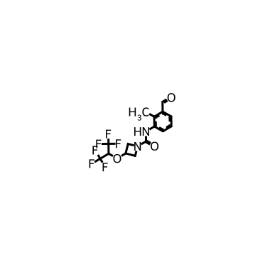 Cc1c(C=O)cccc1NC(=O)N1CC(OC(C(F)(F)F)C(F)(F)F)C1